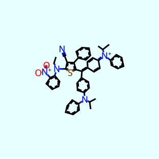 CCN(c1ccccc1[N+](=O)[O-])c1sc(C(=C2C=CC(=[N+](c3ccccc3)C(C)C)C=C2)c2ccc(N(c3ccccc3)C(C)C)cc2)c(-c2ccccc2)c1C#N